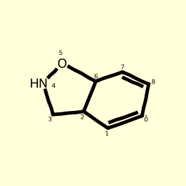 [C]1=CC2CNOC2C=C1